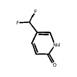 O=c1[c]cc(C(F)F)c[nH]1